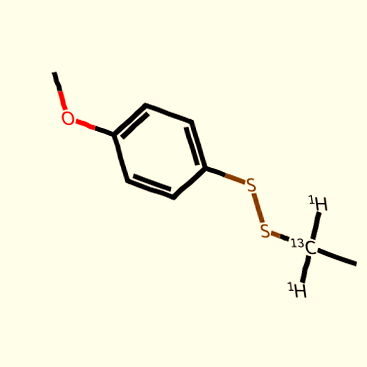 [1H][13C]([1H])(C)SSc1ccc(OC)cc1